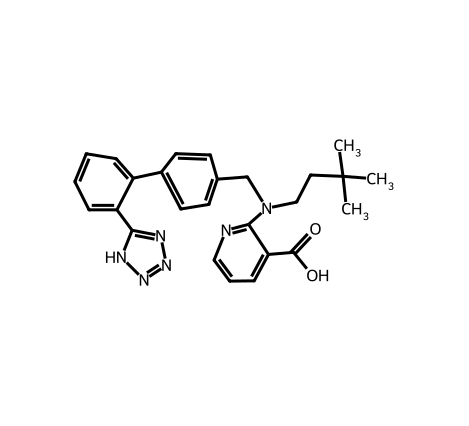 CC(C)(C)CCN(Cc1ccc(-c2ccccc2-c2nnn[nH]2)cc1)c1ncccc1C(=O)O